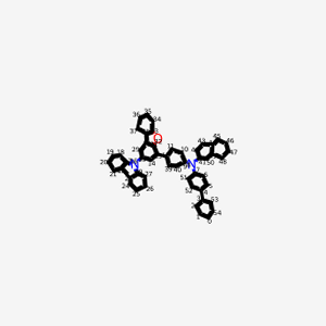 c1ccc(-c2ccc(N(c3ccc(-c4cc(-n5c6ccccc6c6ccccc65)cc5c4oc4ccccc45)cc3)c3ccc4ccccc4c3)cc2)cc1